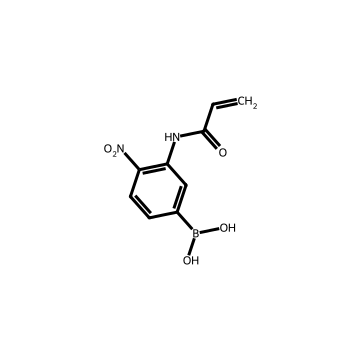 C=CC(=O)Nc1cc(B(O)O)ccc1[N+](=O)[O-]